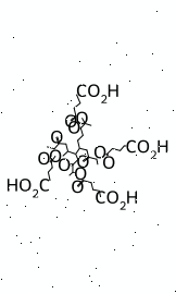 CC(OC(=O)CCCC(=O)O)C(=O)CCC(CC(=O)C(C)OC(=O)CCCC(=O)O)C(CC(=O)C(C)OC(=O)CCCC(=O)O)C(C)CC(=O)C(C)OC(=O)CCCC(=O)O